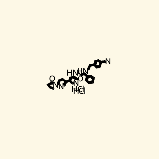 Cl.Cl.N#Cc1ccc(CCN[C@H](c2ccccc2)[C@@H]2CNc3cc(-c4ccc(N5CCCC5=O)nc4)cnc3O2)cc1